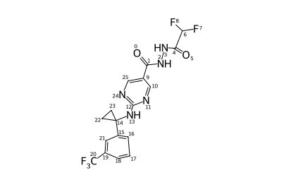 O=C(NNC(=O)C(F)F)c1cnc(NC2(c3cccc(C(F)(F)F)c3)CC2)nc1